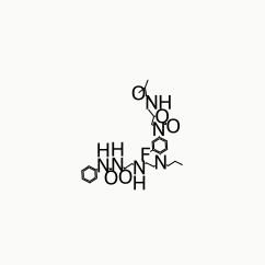 CCCN(CCNCC(=O)NC(=O)Nc1ccccc1)c1ccc(N2CC(CNC3OC3C)OC2=O)cc1F